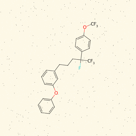 FC(F)(F)Oc1ccc(C(F)(CCCc2cccc(Oc3ccccc3)c2)C(F)(F)F)cc1